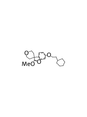 COC(=O)C1(c2ccc(OCCC3CCCCC3)cc2)CCOCC1